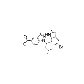 COC(=O)c1ccc2c(c1)c(C)nn2C(CC(C)C)c1cc(Br)cc2cn[nH]c12